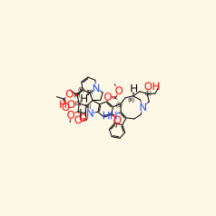 CC[C@]1(O)C[C@@H]2CN(CCc3c([nH]c4ccccc34)[C@@](C(=O)OC)(c3cc4c(cc3OC)N(C=O)[C@@H]3C45CCN4CC=C[C@](CC)([C@H]45)[C@@H](OC(C)=O)[C@]3(O)C(=O)OC)C2)C1